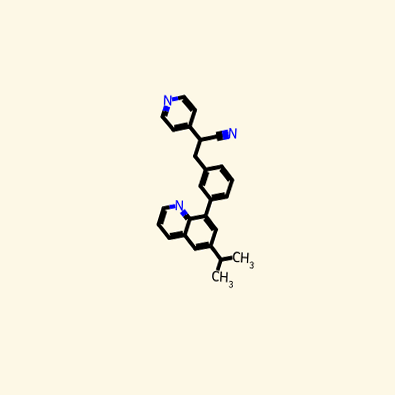 CC(C)c1cc(-c2cccc(CC(C#N)c3ccncc3)c2)c2ncccc2c1